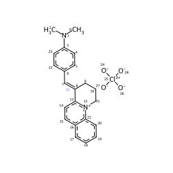 CN(C)c1ccc(/C=C2\CCC[n+]3c2ccc2ccccc23)cc1.[O-][Cl+3]([O-])([O-])[O-]